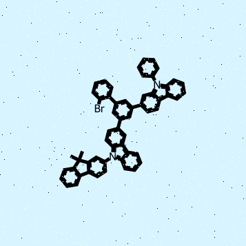 CC1(C)c2ccccc2-c2ccc(-n3c4ccccc4c4cc(-c5cc(-c6ccc7c8ccccc8n(-c8ccccc8)c7c6)cc(-c6ccccc6Br)c5)ccc43)cc21